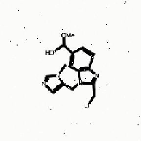 COC(O)c1ccc2nc(CCl)n(Cc3cncn3C)c2c1